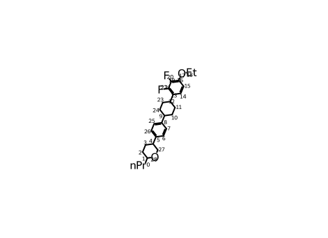 CCCC1CCC(c2ccc(C3CCC(c4ccc(OCC)c(F)c4F)CC3)cc2)CO1